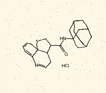 Cl.O=C(NC12CC3CC(CC(C3)C1)C2)C1CSC23CC=CC=C2N=CCC13